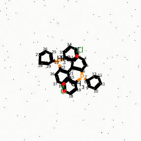 Cc1c(Cl)ccc(P(c2ccccc2)c2ccccc2)c1-c1c(P(c2ccccc2)c2ccccc2)ccc(Cl)c1C